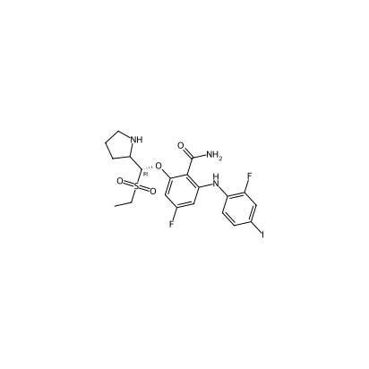 CCS(=O)(=O)[C@@H](Oc1cc(F)cc(Nc2ccc(I)cc2F)c1C(N)=O)C1CCCN1